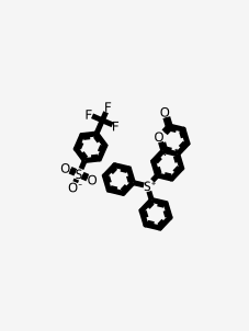 O=S(=O)([O-])c1ccc(C(F)(F)F)cc1.O=c1ccc2ccc([S+](c3ccccc3)c3ccccc3)cc2o1